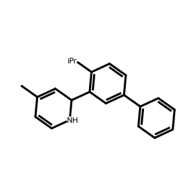 CC1=CC(c2cc(-c3ccccc3)ccc2C(C)C)NC=C1